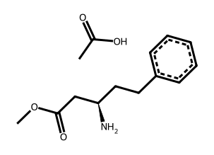 CC(=O)O.COC(=O)C[C@H](N)CCc1ccccc1